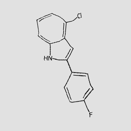 Fc1ccc(-c2cc3c(Cl)cccc3[nH]2)cc1